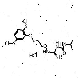 CC(C)NC(=O)NC(=N)NOCCCOc1cc(SCl)ccc1SCl.Cl